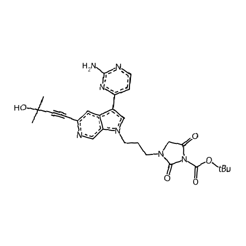 CC(C)(O)C#Cc1cc2c(-c3ccnc(N)n3)cn(CCCN3CC(=O)N(C(=O)OC(C)(C)C)C3=O)c2cn1